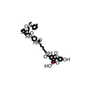 CCN(C(=O)Cn1c(C(=O)N[C@H]2CC[C@H](C(=O)NCCCCCCNC(=O)c3ccc4c(c3)C(=O)OC43c4ccc(O)cc4Oc4cc(O)ccc43)CC2)cc2sccc21)c1cccc(C)c1